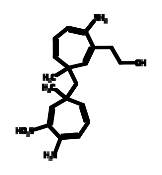 CC1(CC2(C)C=CC=C(N)C(S(=O)(=O)O)=C2)C=CC=C(N)C(CCO)=C1